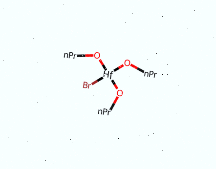 CCC[O][Hf]([Br])([O]CCC)[O]CCC